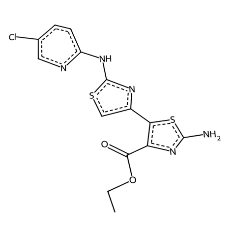 CCOC(=O)c1nc(N)sc1-c1csc(Nc2ccc(Cl)cn2)n1